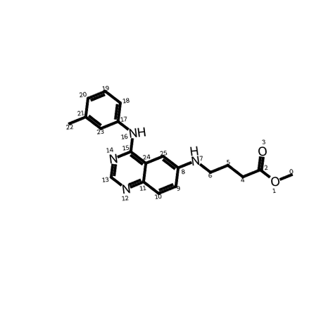 COC(=O)CCCNc1ccc2ncnc(Nc3cccc(C)c3)c2c1